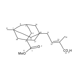 COC(=O)C12CC3CC(C)(CC(CC=C(C)C(=O)O)(C3)C1)C2